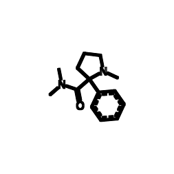 CN(C)C(=O)C1(c2ccccc2)CCCN1C